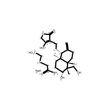 C=C1CC[C@@H]2[C@](C)(CO)[C@H](O)CC[C@@]2(C)[C@@H]1CCC1=C(O)COC1=O.NC(=O)CSCC(=O)O.[NaH]